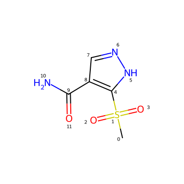 CS(=O)(=O)c1[nH]ncc1C(N)=O